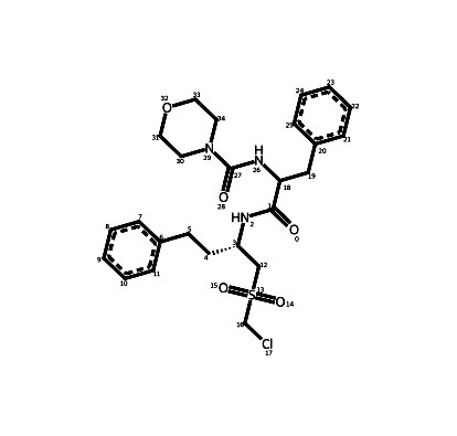 O=C(N[C@@H](CCc1ccccc1)CS(=O)(=O)CCl)C(Cc1ccccc1)NC(=O)N1CCOCC1